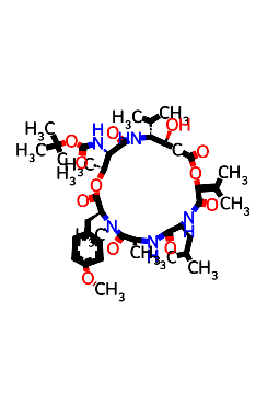 COc1ccc(C[C@H]2C(=O)O[C@H](C)[C@H](NC(=O)OC(C)(C)C)C(=O)N[C@H](C(C)C)[C@@H](O)CC(=O)OC(=C(C)C)C(=O)N[C@@H](CC(C)C)C(=O)N[C@@H](C)C(=O)N2C)cc1